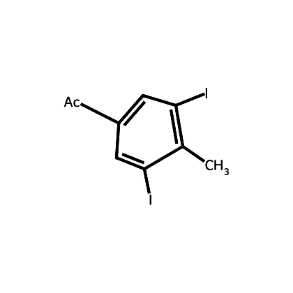 CC(=O)c1cc(I)c(C)c(I)c1